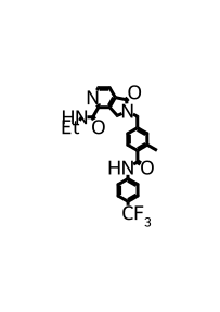 CCNC(=O)c1nccc2c1CN(Cc1ccc(C(=O)Nc3ccc(C(F)(F)F)cc3)c(C)c1)C2=O